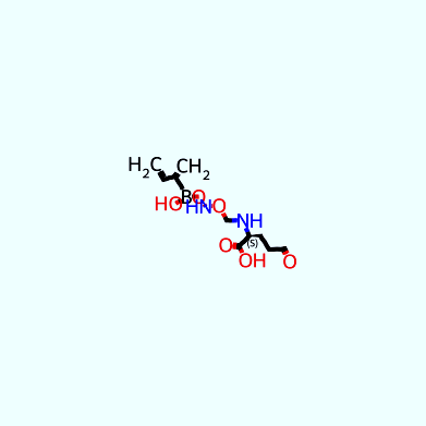 C=CC(=C)B(O)ONOCN[C@@H](CCC=O)C(=O)O